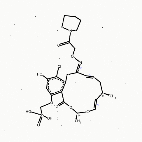 C[C@@H]1C/C=C/[C@H](C)C/C=C/C(=N/OCC(=O)N2CCCCC2)Cc2c(Cl)c(O)cc(OCP(=O)(O)O)c2C(=O)O1